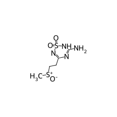 C[S+]([O-])CCC1=NS(=O)(=O)NC(N)=N1